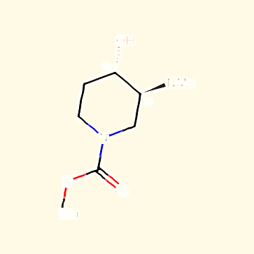 CN[C@H]1CN(C(=O)OC(C)(C)C)CC[C@@H]1O